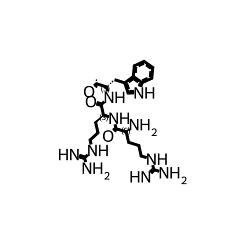 N=C(N)NCCC[C@H](NC(=O)[C@@H](N)CCCNC(=N)N)C(=O)N[C@H]([C]=O)Cc1c[nH]c2ccccc12